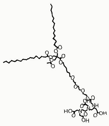 CCCCCCCCCCCCCCCC(=O)OCC(COC(C)=O)(COC(=O)CCCCCCCCCCCCCCC)C(=O)OCCCCCCOCCOCCOCCOC(=O)CNC(CC(=O)O)CN(CCN(CC(=O)O)CC(=O)O)CC(=O)O